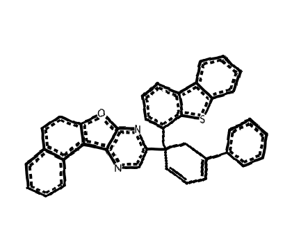 C1=CC(c2cnc3c(n2)oc2ccc4ccccc4c23)(c2cccc3c2sc2ccccc23)CC(c2ccccc2)=C1